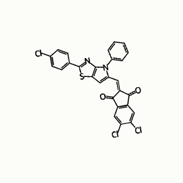 O=C1C(=Cc2cc3sc(-c4ccc(Cl)cc4)nc3n2-c2ccccc2)C(=O)c2cc(Cl)c(Cl)cc21